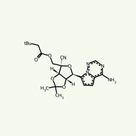 CC(C)(C)CC(=O)OC[C@@]1(C#N)O[C@@H](c2ccc3c(N)ncnn23)[C@@H]2OC(C)(C)O[C@@H]21